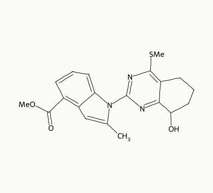 COC(=O)c1cccc2c1cc(C)n2-c1nc(SC)c2c(n1)C(O)CCC2